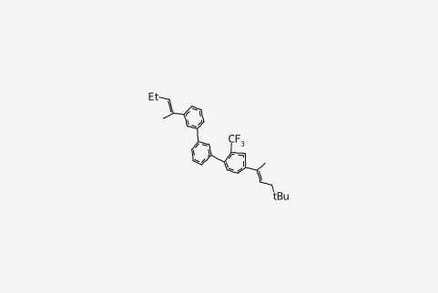 CC/C=C(\C)c1cccc(-c2cccc(-c3ccc(/C(C)=C/CC(C)(C)C)cc3C(F)(F)F)c2)c1